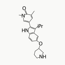 Cc1cc(-c2[nH]c3ccc(OC4CCCNC4)cc3c2C(C)C)cn(C)c1=O